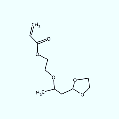 C=CC(=O)OCCOC(C)CC1OCCO1